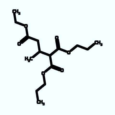 CCCOC(=O)C(C(=O)OCCC)C(C)CC(=O)OCC